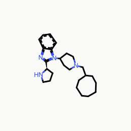 c1ccc2c(c1)nc([C@H]1CCCN1)n2C1CCN(CC2CCCCCCC2)CC1